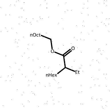 CCCCCCCCCOC(=O)C(CC)CCCCCC